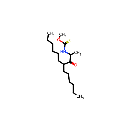 CCCCCCC(CCCCCC)C(=O)C(C)NC(=S)OC